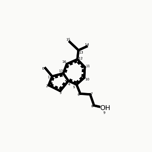 Cc1ccc2c(CCCO)ccc(C(C)C)cc1-2